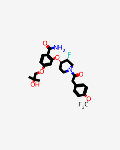 CC(C)(O)COc1ccc(C(N)=O)c(O[C@H]2CCN(C(=O)Cc3ccc(OC(F)(F)F)cc3)C[C@H]2F)c1